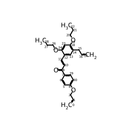 C=CCOc1ccc(C(=O)C=Cc2cc(CC=C)c(OCCC)cc2OCCC)cc1